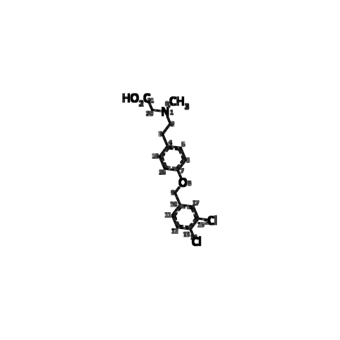 CN(CCc1ccc(OCc2ccc(Cl)c(Cl)c2)cc1)CC(=O)O